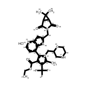 CCOC(=O)c1c(C(F)(F)F)c(C)n(CC2CNCCO2)c1-c1ccnc2cc(CN3C(=O)C4C(C3=O)C4(C)C)sc12.Cl